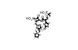 CC(C)(O/N=C(\C(=O)N[C@@H]1C(=O)N(S(=O)(=O)O)[C@@H]1Cn1ncc(C[N+]2(C)CCCC2)n1)c1csc(N)n1)C(=O)O